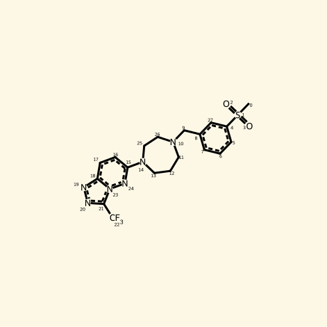 CS(=O)(=O)c1cccc(CN2CCCN(c3ccc4nnc(C(F)(F)F)n4n3)CC2)c1